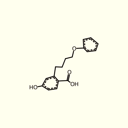 O=C(O)c1ccc(O)cc1CCCCOc1ccccc1